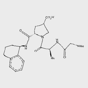 CNCC(=O)N[C@H](C(=O)N1CC(C(=O)O)C[C@H]1C(=O)N[C@@H]1CCCc2ccccc21)C(C)(C)C